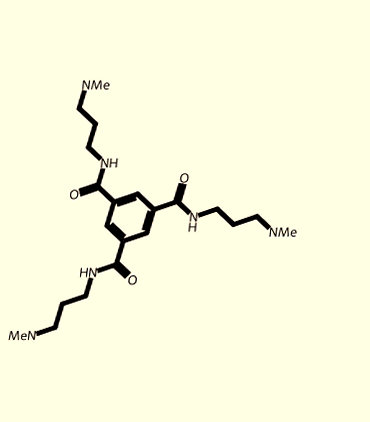 CNCCCNC(=O)c1cc(C(=O)NCCCNC)cc(C(=O)NCCCNC)c1